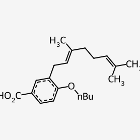 CCCCOc1ccc(C(=O)O)cc1C/C=C(\C)CCC=C(C)C